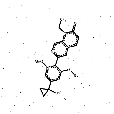 CCSc1cc(C2(C#N)CC2)c[n+](OC)c1-c1cc2ccc(=O)n(CC(F)(F)F)c2cn1